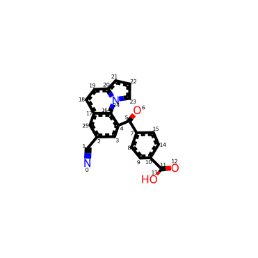 N#Cc1cc(C(=O)c2ccc(C(=O)O)cc2)c2c(ccc3cccn32)c1